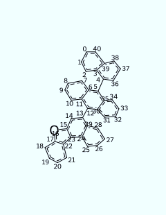 c1ccc2c(-c3c4ccccc4c(-c4cc5oc6ccccc6c5c5ccccc45)c4ccccc34)cccc2c1